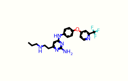 CCCNCCc1cc(Nc2ccc(Oc3ccnc(C(F)(F)F)c3)cc2)nc(N)n1